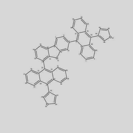 c1ccc2c(-c3ccc4c(c3)oc3c(-c5c6ccccc6c(-c6ccoc6)c6ccccc56)cccc34)c3ccccc3c(-c3ccoc3)c2c1